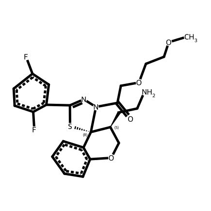 COCCOCC(=O)N1N=C(c2cc(F)ccc2F)S[C@]12c1ccccc1OC[C@@H]2CCN